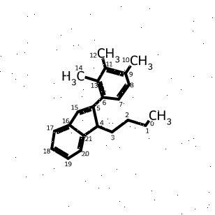 CCCC[C]1C(c2ccc(C)c(C)c2C)=Cc2ccccc21